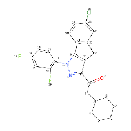 O=C(CC1CCCCC1)c1nn(-c2ccc(F)cc2F)c2c1Cc1cc(Cl)ccc1-2